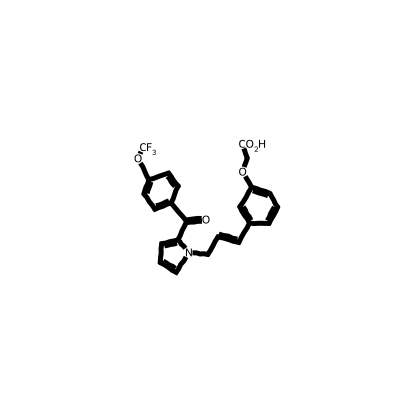 O=C(O)COc1cccc(/C=C/Cn2cccc2C(=O)c2ccc(OC(F)(F)F)cc2)c1